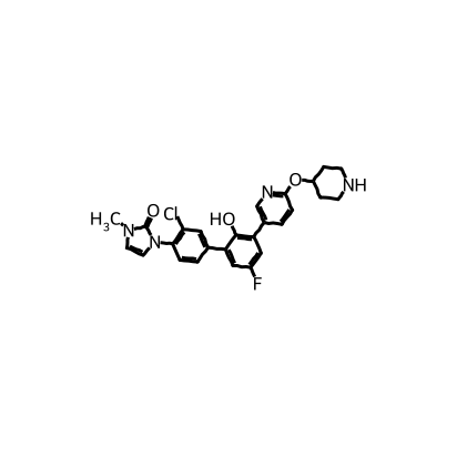 Cn1ccn(-c2ccc(-c3cc(F)cc(-c4ccc(OC5CCNCC5)nc4)c3O)cc2Cl)c1=O